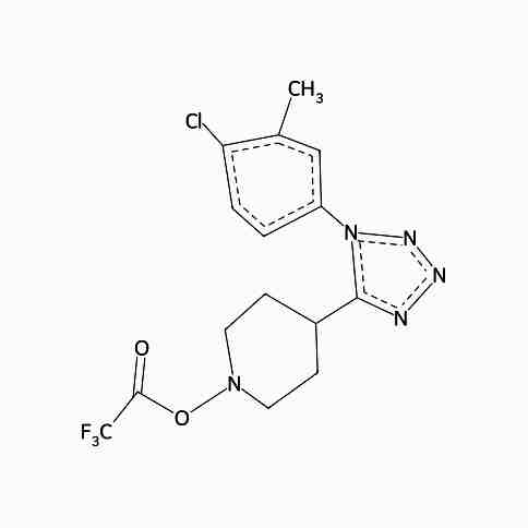 Cc1cc(-n2nnnc2C2CCN(OC(=O)C(F)(F)F)CC2)ccc1Cl